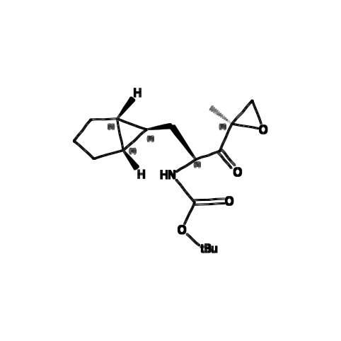 CC(C)(C)OC(=O)N[C@@H](C[C@H]1[C@@H]2CCC[C@@H]21)C(=O)[C@@]1(C)CO1